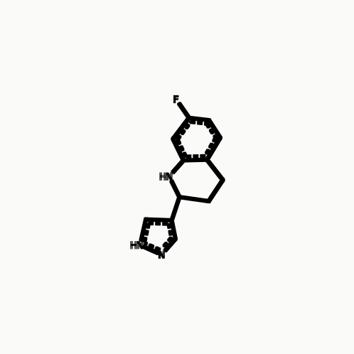 Fc1ccc2c(c1)NC(c1cn[nH]c1)CC2